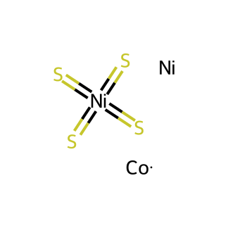 [Co].[Ni].[S]=[Ni](=[S])(=[S])=[S]